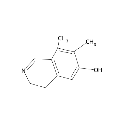 Cc1c(O)cc2c(c1C)C=NCC2